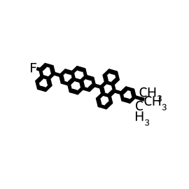 CC(C)(C)c1ccc(-c2c3ccccc3c(-c3cc4ccc5cc(-c6ccc(F)c7ccccc67)cc6ccc(c3)c4c56)c3ccccc23)cc1